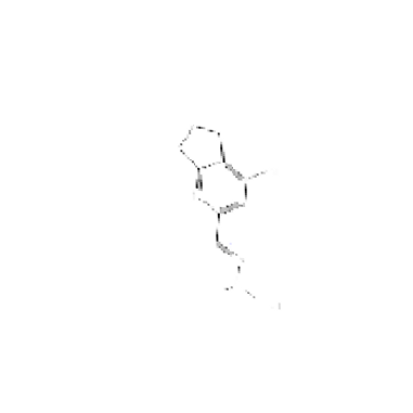 CC(C)(C)[S+]([O-])/N=C/c1cc(Br)c2c(n1)CCC2